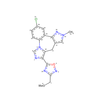 COCc1noc(-c2ncn3c2Cc2cn(C)nc2-c2cc(Cl)ccc2-3)n1